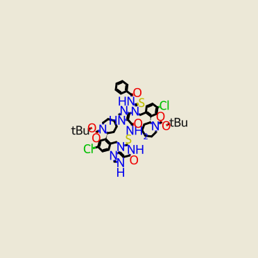 CC(C)(C)OC(=O)N1CCCCC[C@@H]1c1cc(Cl)ccc1CN(C(=S)NC(=O)c1ccccc1)c1nc[nH]c1C(N)=O.CC(C)(C)OC(=O)N1CCCCC[C@@H]1c1cc(Cl)ccc1Cn1c(=S)[nH]c(=O)c2[nH]cnc21